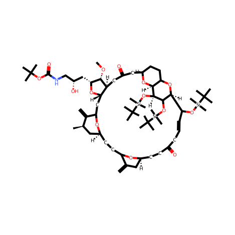 C=C1C[C@@H]2CCC(=O)C/C=C/C(O[Si](C)(C)C(C)(C)C)[C@@H]3OC4CC[C@H](CC(=O)C[C@@H]5[C@@H](OC)[C@@H](C[C@H](O)CNC(=O)OC(C)(C)C)O[C@H]5CC5O[C@@H](CCC1O2)C[C@@H](C)C5=C)O[C@@H]4[C@H](O[Si](C)(C)C(C)(C)C)C3O[Si](C)(C)C(C)(C)C